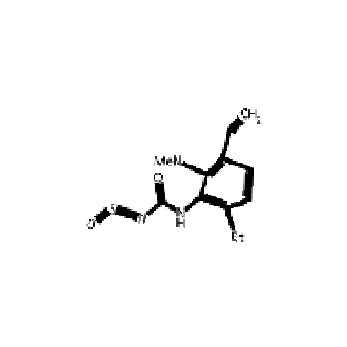 C=Cc1ccc(CC)c(NC(=O)N=S=O)c1NC